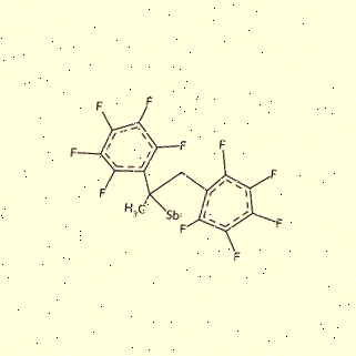 C[C]([Sb])(Cc1c(F)c(F)c(F)c(F)c1F)c1c(F)c(F)c(F)c(F)c1F